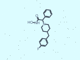 O=C(NO)C(c1ccccc1)N1CCC(Cc2ccc(F)cc2)CC1